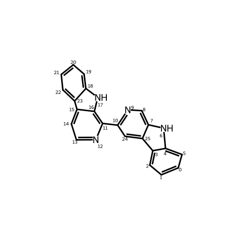 c1ccc2c(c1)[nH]c1cnc(-c3nccc4c3[nH]c3ccccc34)cc12